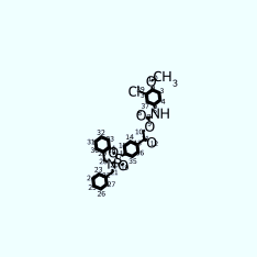 COc1ccc(NC(=O)OCC(=O)c2ccc(S(=O)(=O)N(Cc3ccccc3)Cc3ccccc3)cc2)cc1Cl